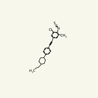 CCCC1CCC(c2ccc(C#Cc3cc(C)c(N=C=S)c(Cl)c3)cc2)CC1